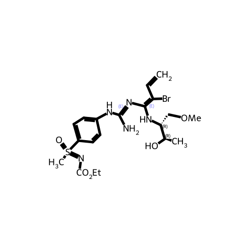 C=C/C(Br)=C(\N=C(/N)Nc1ccc(S(C)(=O)=NC(=O)OCC)cc1)N[C@H](COC)[C@@H](C)O